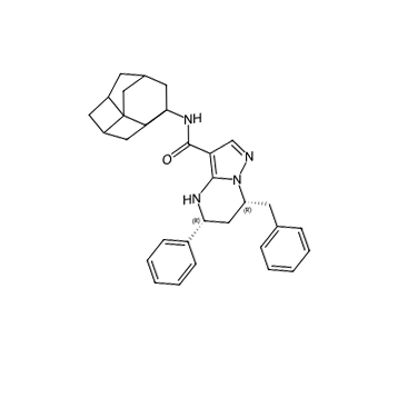 O=C(NC12CC3CC4CC(C1)C4(C3)C2)c1cnn2c1N[C@@H](c1ccccc1)C[C@H]2Cc1ccccc1